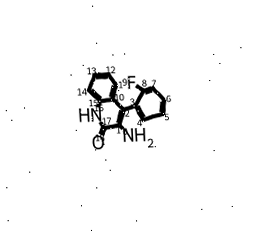 Nc1c(-c2ccccc2F)c2ccccc2[nH]c1=O